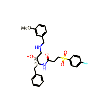 COc1cccc(CNC[C@@H](O)[C@H](Cc2ccccc2)NC(=O)CCS(=O)(=O)c2ccc(F)cc2)c1